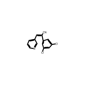 N#CC(=Cc1cccnc1)c1cc(Cl)cc(Cl)c1